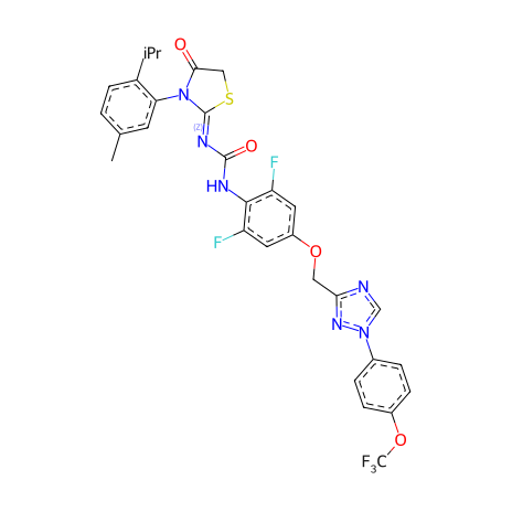 Cc1ccc(C(C)C)c(N2C(=O)CS/C2=N\C(=O)Nc2c(F)cc(OCc3ncn(-c4ccc(OC(F)(F)F)cc4)n3)cc2F)c1